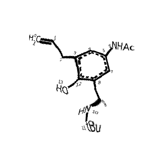 C=CCc1cc(NC(C)=O)cc(CNC(C)(C)C)c1O